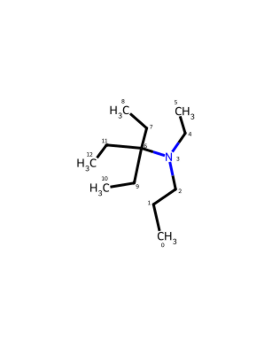 CCCN(CC)C(CC)(CC)CC